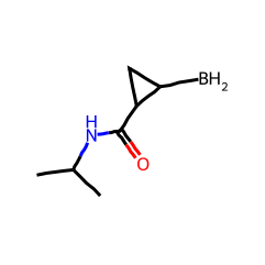 BC1CC1C(=O)NC(C)C